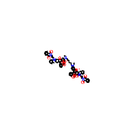 CCN(CCCCCCN(CC)c1ccc2c(-c3ccccc3S(=O)(=O)O)c3ccc(N(CCCN4C(=O)c5ccccc5C4=O)c4ccccc4C)cc3[o+]c2c1)c1ccc2c(c1)OC1C=C(N(CCCN3C(=O)c4ccccc4C3=O)c3ccccc3C)C=CC1=C2c1ccccc1S(=O)(=O)[O-]